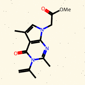 C=C(C)n1c(C)nc2c(c(C)cn2CC(=O)OC)c1=O